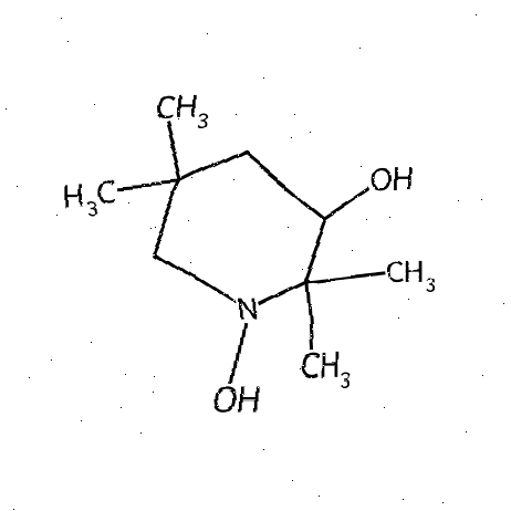 CC1(C)CC(O)C(C)(C)N(O)C1